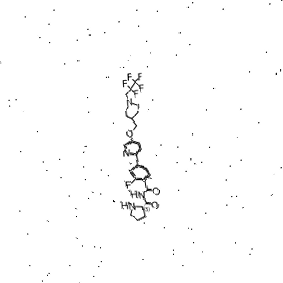 O=C(NC(=O)[C@@H]1CCCN1)c1ccc(-c2ccc(OCC3CCN(CC(F)(F)C(F)(F)F)CC3)cn2)cc1F